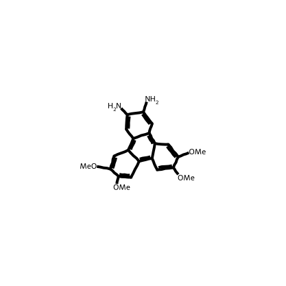 COc1cc2c3cc(N)c(N)cc3c3cc(OC)c(OC)cc3c2cc1OC